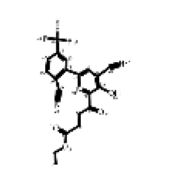 CCOC(=O)CCC(=O)c1nc(-c2cc(C(F)(F)F)ccc2C#N)cc(C#N)c1O